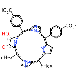 CCCCCCc1c2nc(c(-c3ccc(C(=O)O)cc3)c3ccc([nH]3)c(-c3ccc(C(=O)O)cc3)c3nc(c(CCCCCC)c4ccc1[nH]4)[C@H](O)[C@@H]3O)C=C2